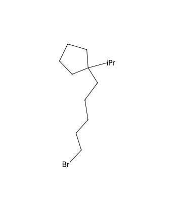 CC(C)C1(CCCCCBr)CCCC1